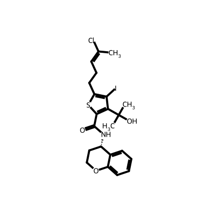 C/C(Cl)=C\CCc1sc(C(=O)N[C@H]2CCOc3ccccc32)c(C(C)(C)O)c1I